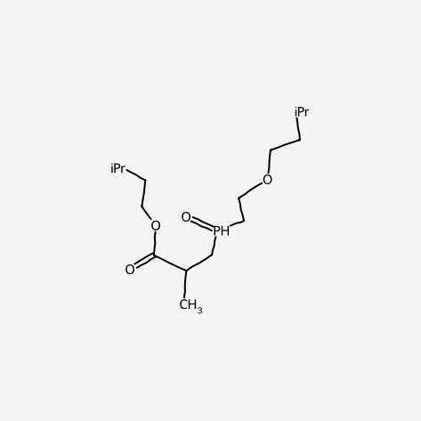 CC(C)CCOCC[PH](=O)CC(C)C(=O)OCCC(C)C